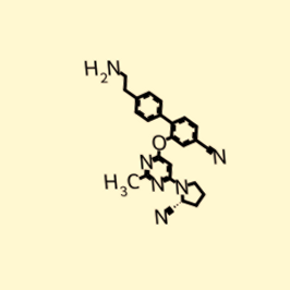 Cc1nc(Oc2cc(C#N)ccc2-c2ccc(CCN)cc2)cc(N2CCC[C@@H]2C#N)n1